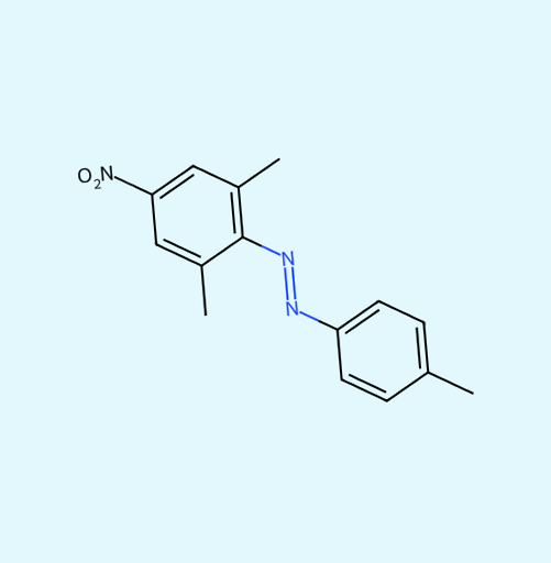 Cc1ccc(N=Nc2c(C)cc([N+](=O)[O-])cc2C)cc1